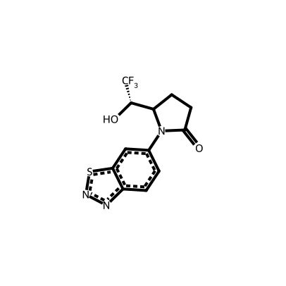 O=C1CCC([C@H](O)C(F)(F)F)N1c1ccc2nnsc2c1